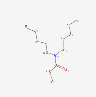 [CH2]SC(=O)N(SCCCC)SCCCC